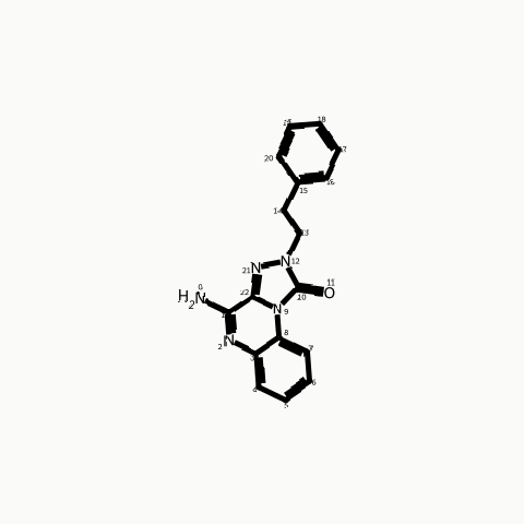 Nc1nc2ccccc2n2c(=O)n(CCc3ccccc3)nc12